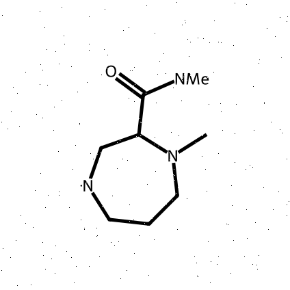 CNC(=O)C1C[N]CCCN1C